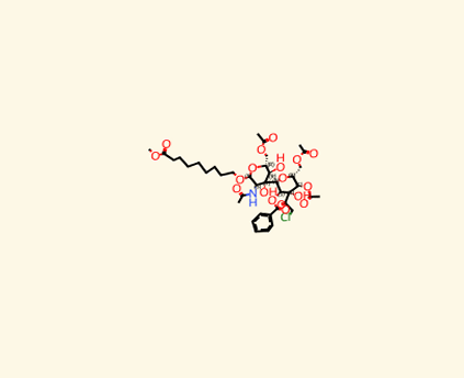 COC(=O)CCCCCCCCO[C@H]1O[C@H](COC(C)=O)[C@@H](O)[C@@](O)([C@@H]2O[C@H](COC(C)=O)[C@H](OC(C)=O)[C@@](O)(C(=O)CCl)[C@H]2OC(=O)c2ccccc2)[C@@H]1NC(C)=O